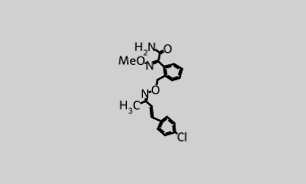 CON=C(C(N)=O)c1ccccc1CON=C(C)C=Cc1ccc(Cl)cc1